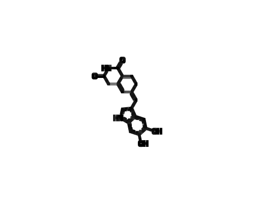 O=C1CC2=CC(=Cc3c[nH]c4cc(O)c(O)cc34)CC=C2C(=O)N1